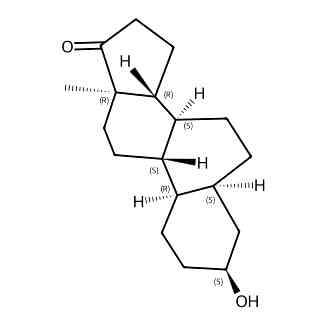 C[C@@]12CC[C@H]3[C@@H]4CC[C@H](O)C[C@@H]4CC[C@@H]3[C@H]1CCC2=O